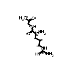 CC(=O)CNC(=O)[C@@H](N)CCCNC(=N)N